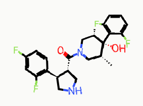 C[C@@H]1CN(C(=O)[C@@H]2CNC[C@H]2c2ccc(F)cc2F)C[C@H](C)[C@@]1(O)c1c(F)cccc1F